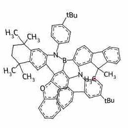 CC(C)(C)c1ccc(N2B3c4ccc5c(c4N(c4ccc(C(C)(C)C)cc4-c4ccccc4)c4cc6c(oc7ccccc76)c(c43)-c3cc4c(cc32)C(C)(C)CCC4(C)C)C(C)(C)c2ccccc2-5)cc1